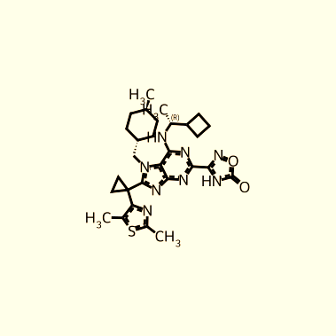 Cc1nc(C2(c3nc4nc(-c5noc(=O)[nH]5)nc(N[C@H](C)C5CCC5)c4n3C[C@H]3CC[C@H](C)CC3)CC2)c(C)s1